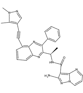 Cc1c(C#Cc2cccc3nc([C@@H](C)NC(=O)c4c(N)nn5cccnc45)c(-c4ccccc4)nc23)cnn1C